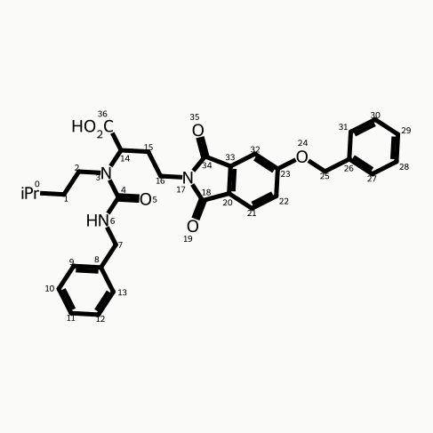 CC(C)CCN(C(=O)NCc1ccccc1)C(CCN1C(=O)c2ccc(OCc3ccccc3)cc2C1=O)C(=O)O